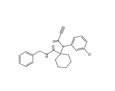 C#CC(=O)N(c1cccc(Cl)c1)C1(C(=O)NCc2ccccc2)CCCCC1